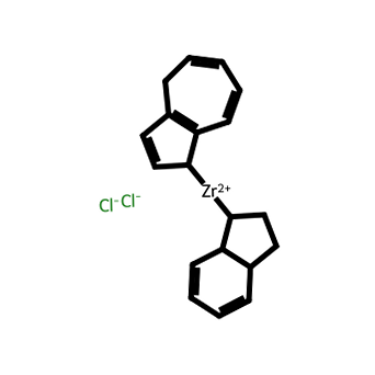 C1=CCC2=C(C=C1)[CH]([Zr+2][CH]1CCC3C=CC=CC31)C=C2.[Cl-].[Cl-]